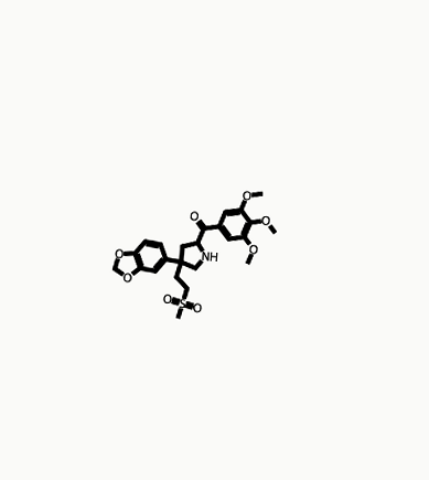 COc1cc(C(=O)C2CC(CCS(C)(=O)=O)(c3ccc4c(c3)OCO4)CN2)cc(OC)c1OC